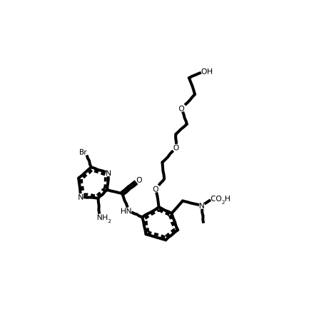 CN(Cc1cccc(NC(=O)c2nc(Br)cnc2N)c1OCCOCCOCCO)C(=O)O